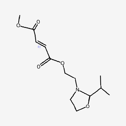 COC(=O)/C=C/C(=O)OCCN1CCOC1C(C)C